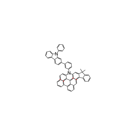 CC1(C)c2ccccc2-c2ccc(N(c3cccc(-c4ccc5c6ccccc6n(-c6ccccc6)c5c4)c3)c3ccccc3-c3cccc4cccc(-c5ccccc5)c34)cc21